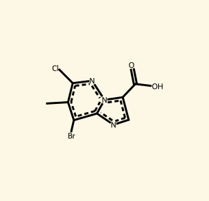 Cc1c(Cl)nn2c(C(=O)O)cnc2c1Br